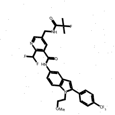 COCCn1c(-c2ccc(C(F)(F)F)cc2)cc2cc(NC(=O)c3cc(CNC(=O)C(C)(C)F)cnc3C(F)F)ccc21